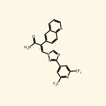 NC(=O)/C(=C/n1cnc(-c2cc(C(F)(F)F)nc(C(F)(F)F)c2)n1)c1ccc2ncccc2c1